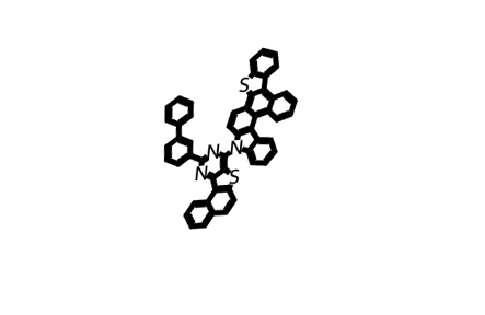 c1ccc(-c2cccc(-c3nc(-n4c5ccccc5c5c6c7ccccc7c7c8ccccc8sc7c6ccc54)c4sc5ccc6ccccc6c5c4n3)c2)cc1